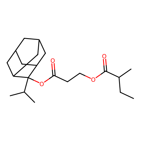 CCC(C)C(=O)OCCC(=O)OC1(C(C)C)C2CC3CC(C2)CC1C3